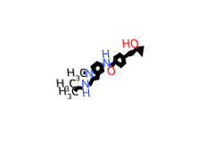 CC(C)CNCc1cc2cc(NC(=O)c3ccc(C#CC4(O)CC4)cc3)ccc2n1C